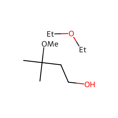 CCOCC.COC(C)(C)CCO